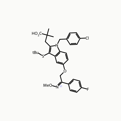 CO/N=C(\COc1ccc2c(c1)c(SC(C)(C)C)c(CC(C)(C)C(=O)O)n2Cc1ccc(Cl)cc1)c1ccc(F)cc1